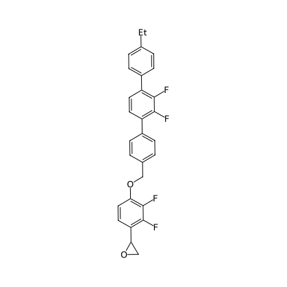 CCc1ccc(-c2ccc(-c3ccc(COc4ccc(C5CO5)c(F)c4F)cc3)c(F)c2F)cc1